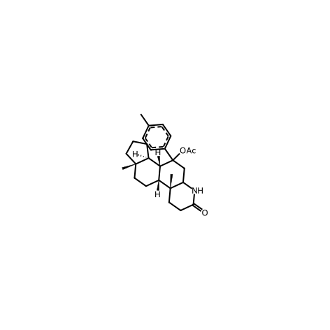 CC(=O)OC1(c2ccc(C)cc2)CC2NC(=O)CC[C@]2(C)[C@@H]2CC[C@]3(C)CCC[C@H]3[C@@H]21